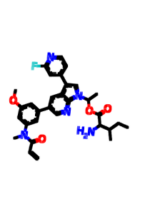 C=CC(=O)N(C)c1cc(OC)cc(-c2cnc3c(c2)c(-c2ccnc(F)c2)cn3C(C)OC(=O)C(N)C(C)CC)c1